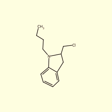 CCCCN1c2ccccc2CC1CCl